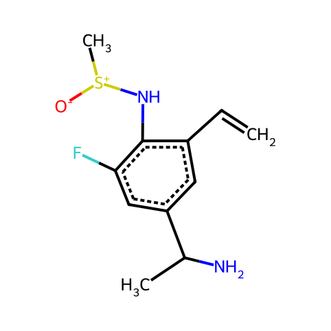 C=Cc1cc(C(C)N)cc(F)c1N[S+](C)[O-]